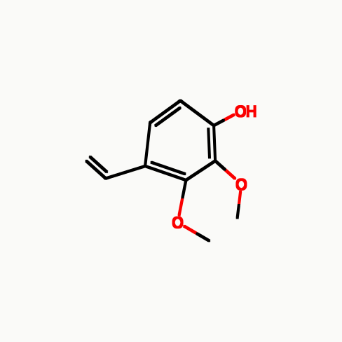 C=Cc1ccc(O)c(OC)c1OC